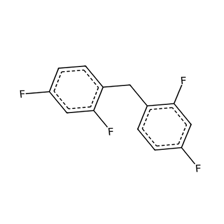 Fc1ccc(Cc2ccc(F)cc2F)c(F)c1